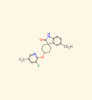 O=C(O)c1ccc2c(c1)C1(CCC(Oc3ncc(C(F)(F)F)cc3F)CC1)C(=O)N2